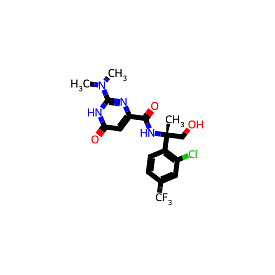 CN(C)c1nc(C(=O)N[C@](C)(CO)c2ccc(C(F)(F)F)cc2Cl)cc(=O)[nH]1